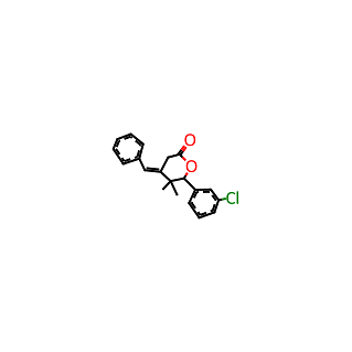 CC1(C)/C(=C/c2ccccc2)CC(=O)OC1c1cccc(Cl)c1